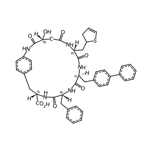 O=C1C[C@@H](O)C(=O)Nc2ccc(cc2)C[C@@H](C(=O)O)NC(=O)[C@@H](Cc2ccccc2)NC(=O)[C@H](Cc2ccc(-c3ccccc3)cc2)NC(=O)[C@@H](CC2CC=CS2)N1